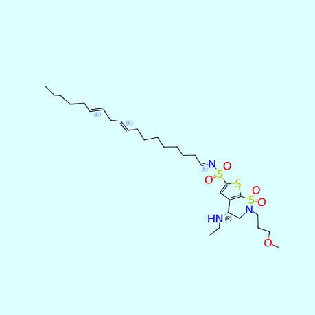 CCCCC/C=C/C/C=C/CCCCCCC/C=N/S(=O)(=O)c1cc2c(s1)S(=O)(=O)N(CCCOC)C[C@@H]2NCC